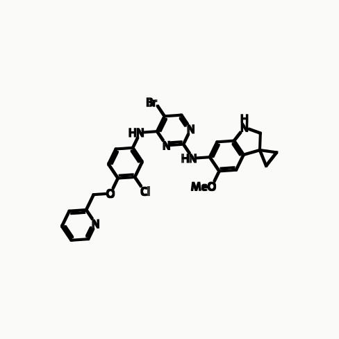 COc1cc2c(cc1Nc1ncc(Br)c(Nc3ccc(OCc4ccccn4)c(Cl)c3)n1)NCC21CC1